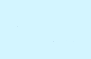 Cc1[nH]c(/C=C2\C(=O)Nc3cccc(-c4cccc(Cl)c4)c32)c(C)c1C(=O)NCCN1CCCC1